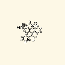 C=CC(=O)Oc1ccccc1/C(=C(\CC)c1ccccn1)c1ccc2[nH]ncc2c1